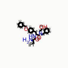 CC(C)CC(N)C(=O)NC(Cc1ccc(OCc2ccccc2)cc1)C(=O)N(CCO)Cc1ccccc1